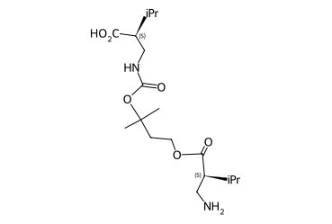 CC(C)[C@@H](CNC(=O)OC(C)(C)CCOC(=O)[C@H](CN)C(C)C)C(=O)O